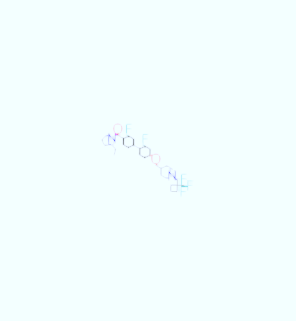 CCC1CCCN1C(=O)c1ccc(-c2ccc(OCC3CCN(CC4(C(F)(F)F)CCC4)CC3)cc2F)cc1F